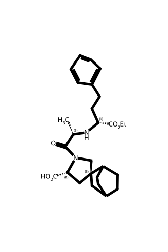 CCOC(=O)[C@@H](CCc1ccccc1)N[C@@H](C)C(=O)N1C[C@@]2(CC3CCC2CC3)C[C@@H]1C(=O)O